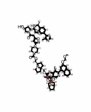 COCOc1cc(-c2ncc3c(N4CC5CCC(C4)N5C(=O)OC(C)(C)C)nc(OC[C@]45CCCN4[C@@H](COC(=O)N4CCN(c6cc([C@H](C(=O)N7C[C@H](O)C[C@H]7C(=O)N[C@@H](C)c7ccc(-c8scnc8C)cc7)C(C)C)on6)CC4)CC5)nc3c2F)c2ccccc2c1